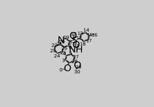 COc1ccc(Nc2c(S(=O)(=O)c3ccc(C)cc3)cnc3ccccc23)cc1OC